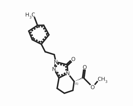 COC(=O)[C@@H]1CCCc2nn(CCc3ccc(C)cc3)c(=O)n21